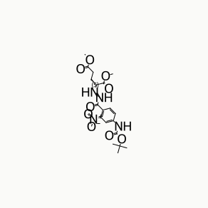 COC(=O)CC[C@H](NNC(=O)c1ccc(NC(=O)OC(C)(C)C)cc1[N+](=O)[O-])C(=O)OC